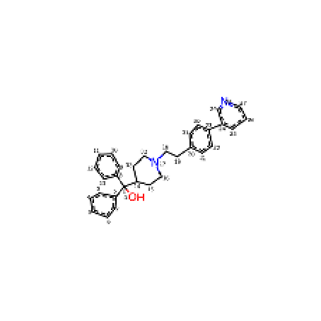 OC(c1ccccc1)(c1ccccc1)C1CCN(CCc2ccc(-c3cccnc3)cc2)CC1